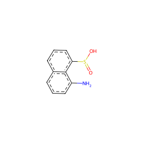 Nc1cccc2cccc(S(=O)O)c12